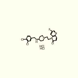 Cl.Cl.O=c1ccc2ncc(F)cc2n1CCN1CCC(NCc2ccc(Cl)c(Cl)c2)CC1